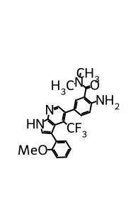 COc1ccccc1-c1c[nH]c2ncc(-c3ccc(N)c(C(=O)N(C)C)c3)c(C(F)(F)F)c12